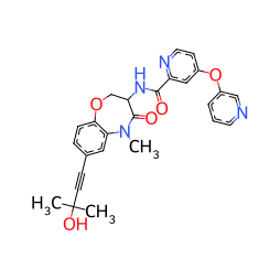 CN1C(=O)C(NC(=O)c2cc(Oc3cccnc3)ccn2)COc2ccc(C#CC(C)(C)O)cc21